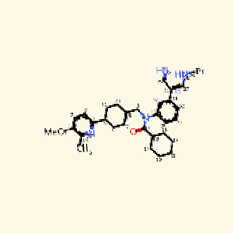 COc1ccc(C2CCC(CN(C(=O)C3CCCCC3)c3cccc(/C(C=N)=C/NC(C)C)c3)CC2)nc1C